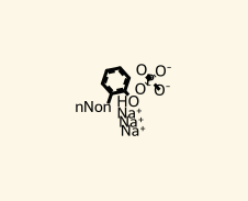 CCCCCCCCCc1ccccc1O.O=P([O-])([O-])[O-].[Na+].[Na+].[Na+]